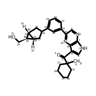 CC1(C(=O)c2c[nH]c3ncc(-c4cccc(C5C[C@@H]6[C@@H](CO)[C@@H]6C5)c4)nc23)CCCCC1